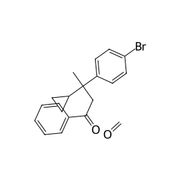 C=O.CC(CC(=O)c1ccccc1)(c1ccc(Br)cc1)C1CC1